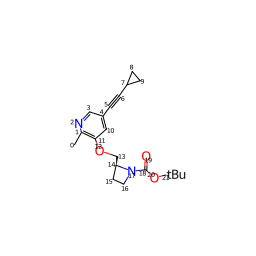 Cc1ncc(C#CC2CC2)cc1OC[C@@H]1CCN1C(=O)OC(C)(C)C